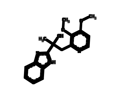 COc1ccnc(CC(C)(O)c2nc3ccccc3[nH]2)c1OC